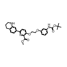 COC(=O)c1nc(-c2ccc3c(c2)NCCC3)ccc1OCCOc1cccc(NC(=O)OC(C)(C)C)c1